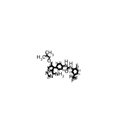 CC(C)COCc1cn2ncnc(N)c2c1-c1ccc(NC(=O)Nc2cc(C(F)(F)F)ccc2F)cc1